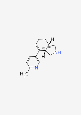 Cc1ccc(C2=CCC[C@@H]3CNC[C@H]23)cn1